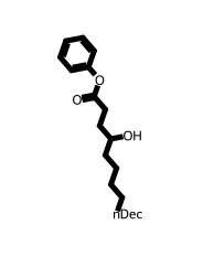 CCCCCCCCCCCCCCC(O)CCC(=O)Oc1ccccc1